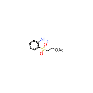 CC(=O)OCCS(=O)(=O)c1ccccc1N